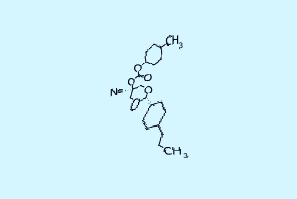 CCCC1CCC([C@H]2OC[C@](C#N)(OC(=O)OC3CCC(C)CC3)CO2)CC1